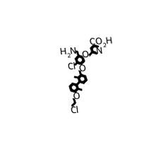 Cc1c(COc2cc(OCc3cncc(C(=O)O)c3)c(CN)cc2Cl)cccc1-c1cccc(OCCCCl)c1C